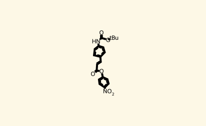 CC(C)(C)OC(=O)Nc1ccc(C=CC(=O)Oc2ccc([N+](=O)[O-])cc2)cc1